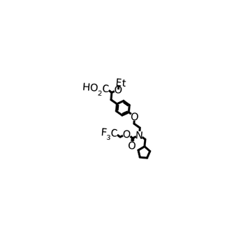 CCOC(Cc1ccc(OCCN(CC2CCCC2)C(=O)OCC(F)(F)F)cc1)C(=O)O